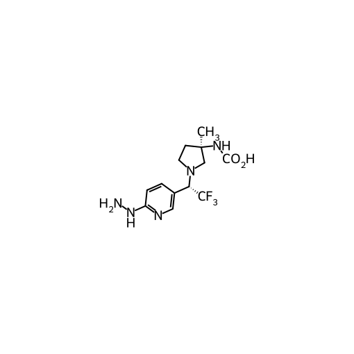 C[C@@]1(NC(=O)O)CCN([C@@H](c2ccc(NN)nc2)C(F)(F)F)C1